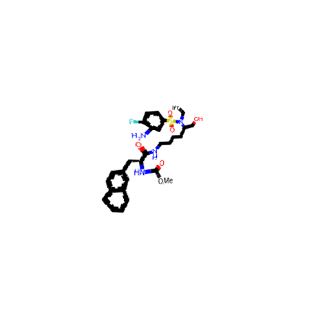 COC(=O)N[C@@H](Cc1ccc2ccccc2c1)C(=O)NCCCCC(CO)N(CC(C)C)S(=O)(=O)c1ccc(F)c(N)c1